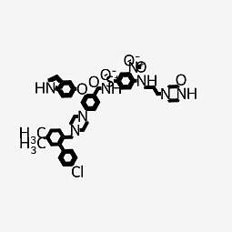 CC1(C)CCC(CN2CCN(c3ccc(C(=O)N[S+]([O-])c4ccc(NCCCN5CCNC(=O)C5)c([N+](=O)[O-])c4)c(Oc4ccc5[nH]ccc5c4)c3)CC2)=C(c2ccc(Cl)cc2)C1